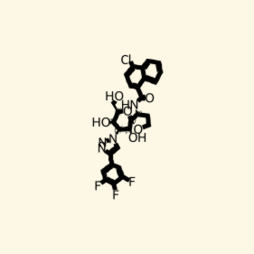 O=C(N[C@@H]1CCO[C@]12O[C@H](CO)[C@H](O)[C@H](n1cc(-c3cc(F)c(F)c(F)c3)nn1)[C@H]2O)c1ccc(Cl)c2ccccc12